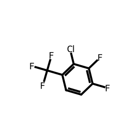 Fc1ccc(C(F)(F)F)c(Cl)c1F